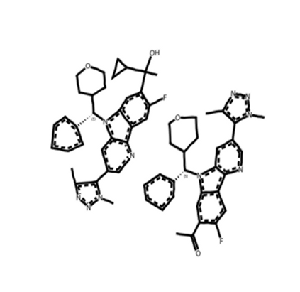 CC(=O)c1cc2c(cc1F)c1ncc(-c3c(C)nnn3C)cc1n2[C@H](c1ccccc1)C1CCOCC1.Cc1nnn(C)c1-c1cnc2c3cc(F)c(C(C)(O)C4CC4)cc3n([C@H](c3ccccc3)C3CCOCC3)c2c1